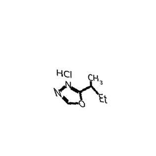 CCC(C)c1nnco1.Cl